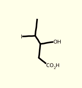 CC(I)C(O)CC(=O)O